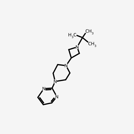 CC(C)(C)N1CC(N2CCN(c3ncccn3)CC2)C1